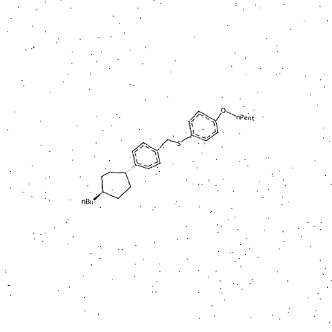 CCCCCOc1ccc(SCc2ccc([C@H]3CC[C@H](CCCC)CC3)cc2)cc1